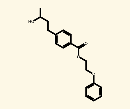 CC(O)CCc1ccc(C(=O)OCCOc2ccccc2)cc1